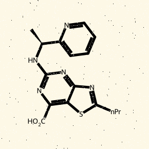 CCCc1nc2nc(N[C@@H](C)c3ccccn3)nc(C(=O)O)c2s1